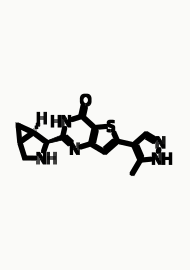 Cc1[nH]ncc1-c1cc2nc([C@H]3NCC4C[C@H]43)[nH]c(=O)c2s1